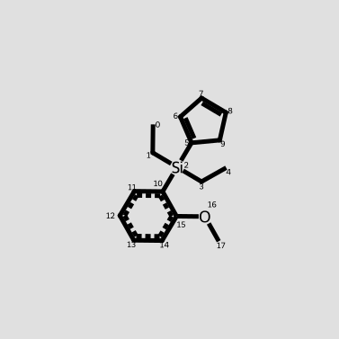 CC[Si](CC)(C1=CC=CC1)c1ccccc1OC